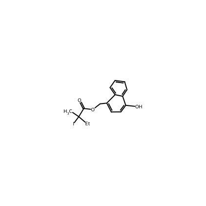 CCC(C)(I)C(=O)OCc1ccc(O)c2ccccc12